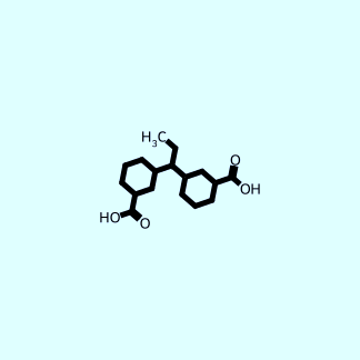 CC[C](C1CCCC(C(=O)O)C1)C1CCCC(C(=O)O)C1